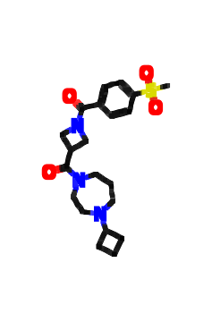 CS(=O)(=O)c1ccc(C(=O)N2CC(C(=O)N3CCCN(C4CCC4)CC3)C2)cc1